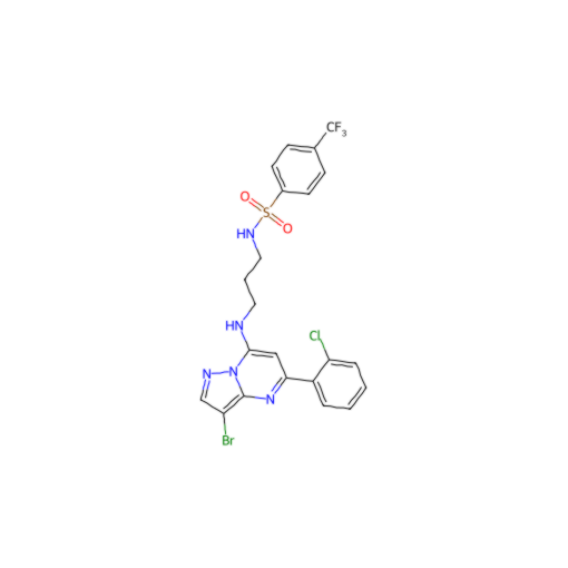 O=S(=O)(NCCCNc1cc(-c2ccccc2Cl)nc2c(Br)cnn12)c1ccc(C(F)(F)F)cc1